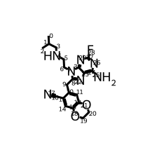 CC(C)CNCCn1c(Cc2cc3c(cc2C#N)OCCO3)nc2c(N)nc(F)nc21